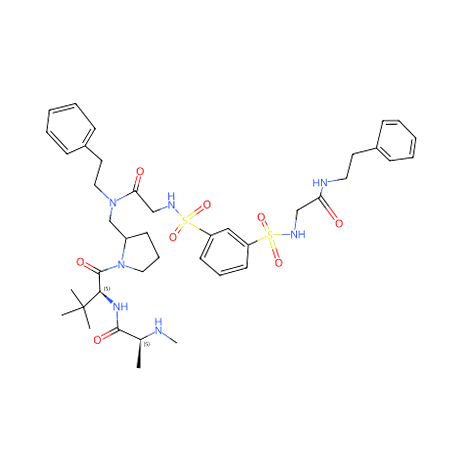 CN[C@@H](C)C(=O)N[C@H](C(=O)N1CCCC1CN(CCc1ccccc1)C(=O)CNS(=O)(=O)c1cccc(S(=O)(=O)NCC(=O)NCCc2ccccc2)c1)C(C)(C)C